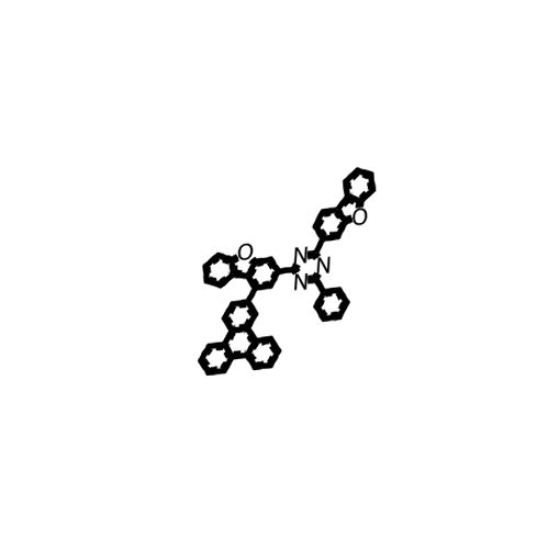 c1ccc(-c2nc(-c3ccc4c(c3)oc3ccccc34)nc(-c3cc(-c4ccc5c6ccccc6c6ccccc6c5c4)c4c(c3)oc3ccccc34)n2)cc1